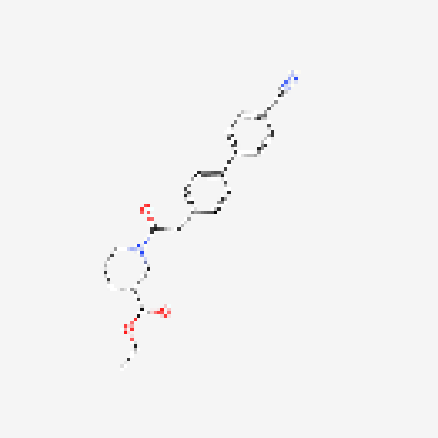 CCOC(=O)C1CCCN(C(=O)Cc2ccc(-c3ccc(C#N)cc3)cc2)C1